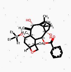 C=C1[C@H](O)C2=C(C)CC[C@@](O)([C@@H](OC(=O)c3ccccc3)C3[C@@]1(C)[C@@H](O[Si](CC)(CC)CC)C[C@H]1OC[C@@]31OC(C)=O)C2(C)C